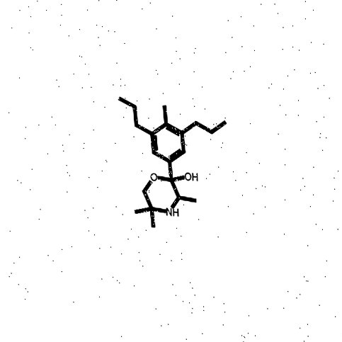 CCCc1cc(C2(O)OCC(C)(C)NC2C)cc(CCC)c1C